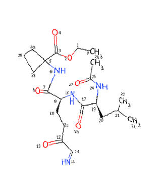 CCOC(=O)C1(NC(=O)[C@H](CCC(=O)C=N)NC(=O)[C@H](CC(C)C)NC(C)=O)CCC1